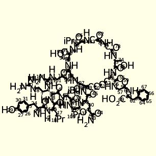 CCC(C)[C@@H](NC(=O)[C@@H](CCCNC(=N)N)NC(=O)[C@@H](CC(C)C)NC(=O)[C@@H](N)Cc1ccc(O)cc1)C(=O)N[C@@H](C(=O)N[C@H](CCC(N)=O)C(=O)N[C@@H]1CCCC[C@@H](C(=O)NCC(=O)N[C@@H](Cc2ccccc2)C(=O)O)NC(=O)C(CO)NC(=O)CNC(=O)CNC(=O)[C@@H](C(C)C)NC(=O)[C@@H](CO)NC(=O)[C@@H](CCCNC(=N)N)NC1=O)C(C)C